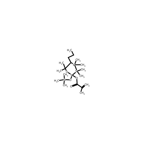 C=C(C)C(=O)O[Si]1(O[Si](C)(C)C)OC(C)(C)C(CCC)[Si](C)(C)[Si]1(C)C